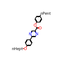 CCCCCCCOc1ccc(-c2cnc(C(=O)Oc3ccc(CCCCC)cc3)cn2)cc1